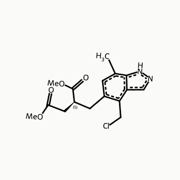 COC(=O)C[C@H](Cc1cc(C)c2[nH]ncc2c1CCl)C(=O)OC